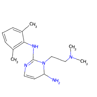 Cc1cccc(C)c1NC1=NC=CC(N)N1CCN(C)C